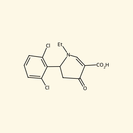 CCN1C=C(C(=O)O)C(=O)CC1c1c(Cl)cccc1Cl